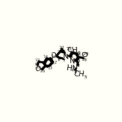 CNCc1nc(N2CCC(Oc3ccc4c(c3)CCOC4)C3CC32)c(C)cc1C=O